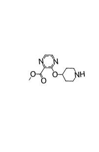 COC(=O)c1nccnc1OC1CCNCC1